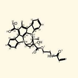 C=CC(=O)NCCOC(=O)[C@@]1(O)CC2O[C@]1(C)n1c3ccccc3c3c(C)c(C(=O)N=O)c4c5ccccc5n2c4c31